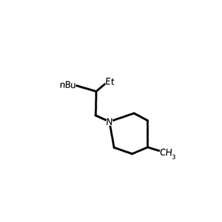 CCCCC(CC)CN1CCC(C)CC1